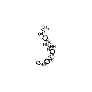 CCOC(=O)C1CCN(C(=O)Nc2nc3cc(OS(=O)(=O)c4ccc(NC5CCCC5)cc4)ccc3[nH]2)CC1